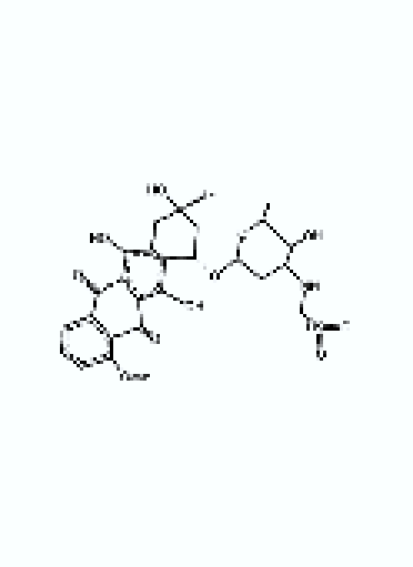 COc1cccc2c1C(=O)c1c(O)c3c(c(O)c1C2=O)C[C@@](O)(C(C)=O)C[C@@H]3OC1CC(NC[SH](=O)=O)C(O)C(C)O1